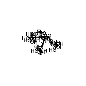 CCP(=O)(O)O[C@H]1CC[C@H](C(=O)NCc2ccc(CC(C(=O)NCCOCCOC3OC(CO)C(O)C(O)C3NC(C)=O)N(CC(=O)NCCOCCOC3OC(CO)C(O)C(O)C3NC(C)=O)CC(=O)NCCOCCOC3OC(CO)C(O)C(O)C3NC(C)=O)cc2)CC1